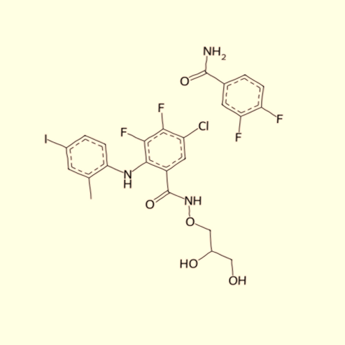 Cc1cc(I)ccc1Nc1c(C(=O)NOCC(O)CO)cc(Cl)c(F)c1F.NC(=O)c1ccc(F)c(F)c1